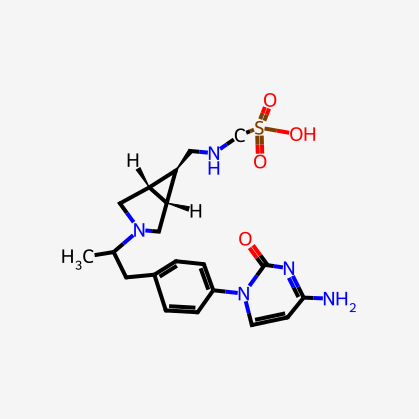 CC(Cc1ccc(-n2ccc(N)nc2=O)cc1)N1C[C@@H]2[C@@H](CNCS(=O)(=O)O)[C@@H]2C1